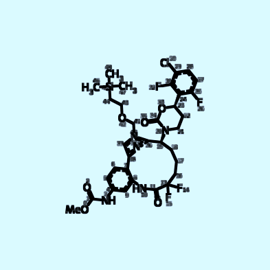 COC(=O)Nc1ccc2c(c1)NC(=O)C(F)(F)CCC[C@H](N1CC[C@H](c3c(F)ccc(Cl)c3F)OC1=O)c1nc-2cn1COCC[Si](C)(C)C